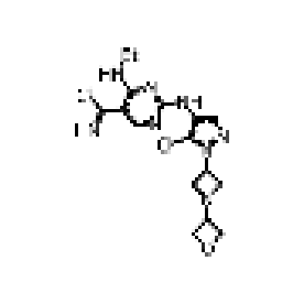 CCNc1nc(Nc2cnn(C3CN(C4COC4)C3)c2Cl)ncc1C(=N)Cl